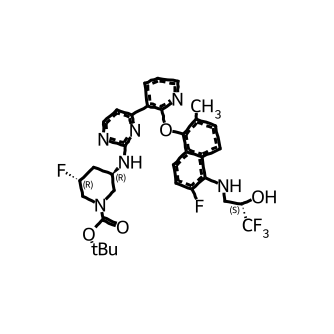 Cc1ccc2c(NC[C@H](O)C(F)(F)F)c(F)ccc2c1Oc1ncccc1-c1ccnc(N[C@@H]2C[C@@H](F)CN(C(=O)OC(C)(C)C)C2)n1